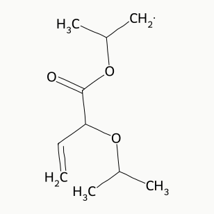 [CH2]C(C)OC(=O)C(C=C)OC(C)C